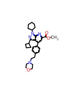 COC(=O)c1cc(-c2ccc(CCN3CCOCC3)cc2)c2c(C3CCC3)nn(C3CCCCC3)c2n1